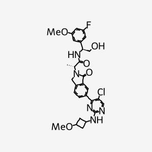 COc1cc(F)cc([C@@H](CO)NC(=O)[C@@H](C)N2Cc3ccc(-c4nc(NC5CC(OC)C5)ncc4Cl)cc3C2=O)c1